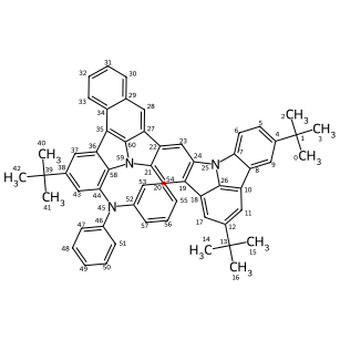 CC(C)(C)c1ccc2c(c1)c1cc(C(C)(C)C)cc3c4cc5c(cc4n2c13)c1cc2ccccc2c2c3cc(C(C)(C)C)cc(N(c4ccccc4)c4ccccc4)c3n5c12